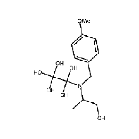 COc1ccc(CN(C(C)CO)C(O)(O)C(O)(O)O)cc1